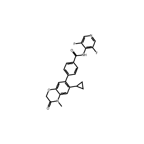 CN1C(=O)COc2cc(-c3ccc(C(=O)Nc4c(F)cncc4F)cc3)c(C3CC3)cc21